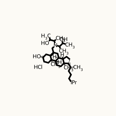 CC(C)CCC[C@@H](C)[C@H]1CC[C@H]2[C@@H]3CC(CN(C(C)C(C)O)C(C)C(C)O)=C4C[C@@H](O)CC[C@]4(C)[C@H]3CC[C@]12C.Cl